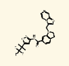 CC(C)(c1cc(NC(=O)c2ccc3c(c2)N(Cc2cnc4cnccn24)CC3)no1)C(F)(F)F